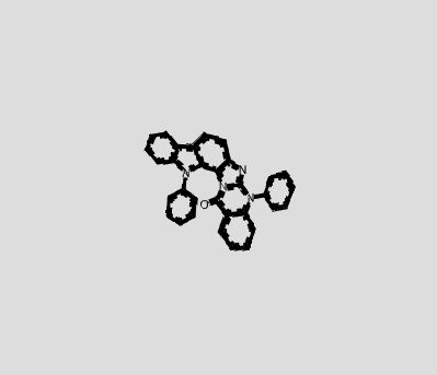 O=c1c2ccccc2n(-c2ccccc2)c2nc3ccc4c5ccccc5n(-c5ccccc5)c4c3n12